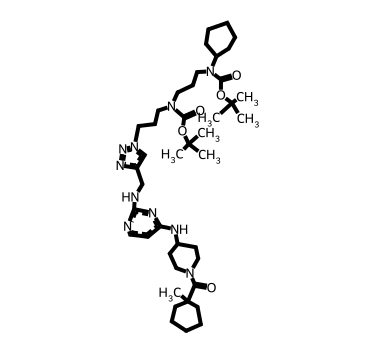 CC(C)(C)OC(=O)N(CCCN(C(=O)OC(C)(C)C)C1CCCCC1)CCCn1cc(CNc2nccc(NC3CCN(C(=O)C4(C)CCCCC4)CC3)n2)nn1